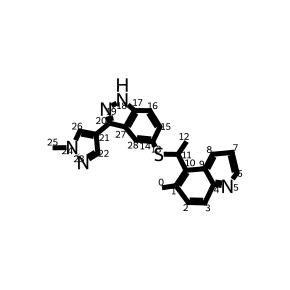 Cc1ccc2ncccc2c1C(C)Sc1ccc2[nH]nc(-c3cnn(C)c3)c2c1